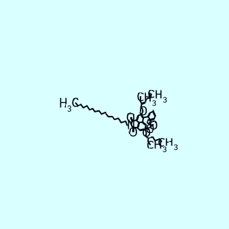 CCCCCCCCCCCCCCCCCCN1C(=O)c2cc(OCC(CC)CCCC)c3c4c(c(OCC(CC)CCCC)cc(c24)C1=O)S(=O)(=O)c1ccccc1-3